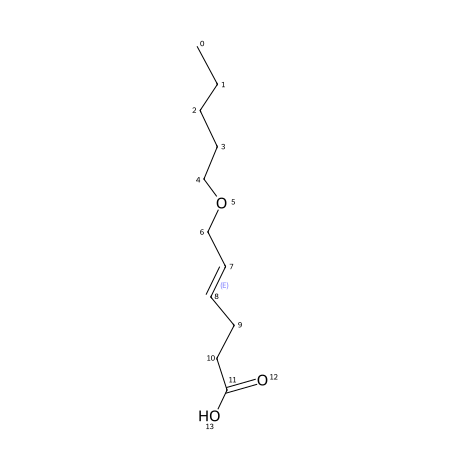 CCCCCOC/C=C/CCC(=O)O